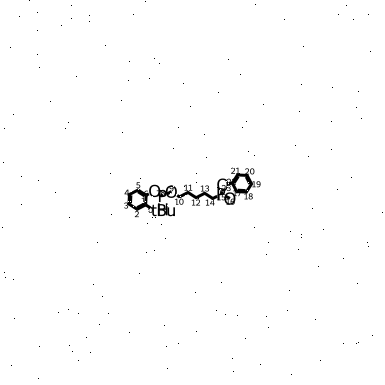 CC(C)(C)c1ccccc1OPOCCCCCP1Oc2ccccc2O1